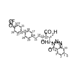 Cc1ccc2c(=O)n(CC[C@H](C(=O)O)[C@H](O)CCc3ccc(-c4ccc(OC(F)(F)F)cc4)cc3)nnc2c1